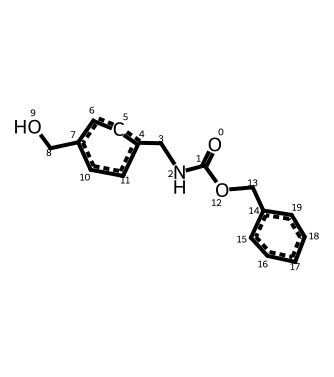 O=C(NCc1ccc(CO)cc1)OCc1ccccc1